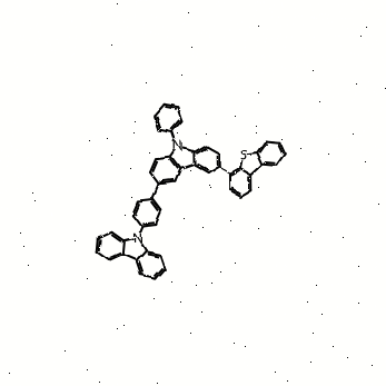 c1ccc(-n2c3ccc(-c4ccc(-n5c6ccccc6c6ccccc65)cc4)cc3c3cc(-c4cccc5c4sc4ccccc45)ccc32)cc1